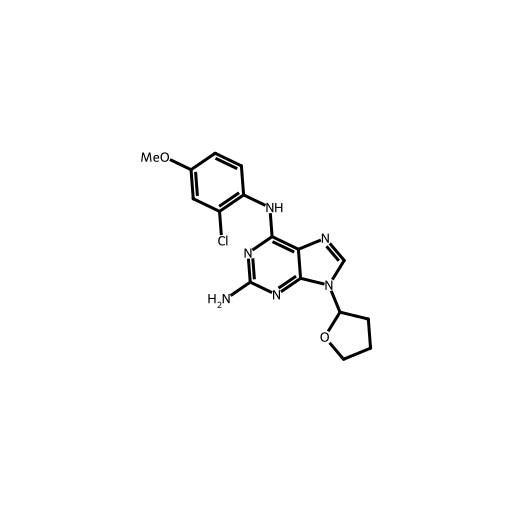 COc1ccc(Nc2nc(N)nc3c2ncn3C2CCCO2)c(Cl)c1